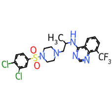 CC(CN1CCN(S(=O)(=O)c2ccc(Cl)c(Cl)c2)CC1)Nc1ncnc2c(C(F)(F)F)cccc12